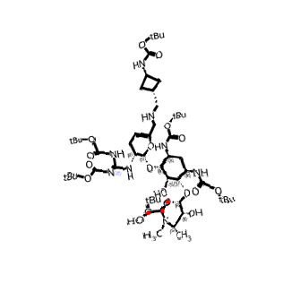 C[C@@H]([C@@H](O)[C@H](OCCO)O[C@@H]1[C@@H](O)[C@H](O[C@H]2OC(CNC[C@H]3C[C@H](NC(=O)OC(C)(C)C)C3)=CC[C@H]2N/C(=N/C(=O)OC(C)(C)C)NC(=O)OC(C)(C)C)[C@@H](NC(=O)OC(C)(C)C)C[C@H]1NC(=O)OC(C)(C)C)N(C)C(=O)OC(C)(C)C